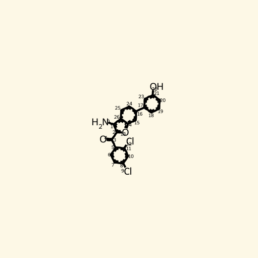 Nc1c(C(=O)c2ccc(Cl)cc2Cl)oc2cc(-c3cccc(O)c3)ccc12